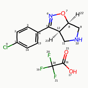 Clc1ccc(C2=NO[C@H]3CNC[C@@H]23)cc1.O=C(O)C(F)(F)F